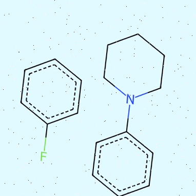 Fc1ccccc1.c1ccc(N2CCCCC2)cc1